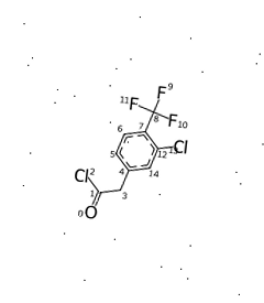 O=C(Cl)Cc1ccc(C(F)(F)F)c(Cl)c1